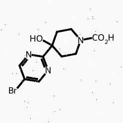 O=C(O)N1CCC(O)(c2ncc(Br)cn2)CC1